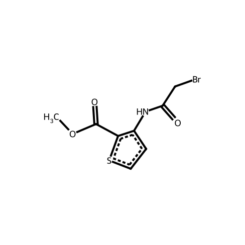 COC(=O)c1sccc1NC(=O)CBr